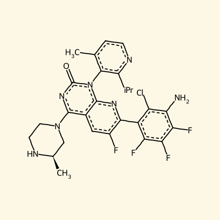 Cc1ccnc(C(C)C)c1-n1c(=O)nc(N2CCN[C@H](C)C2)c2cc(F)c(-c3c(F)c(F)c(F)c(N)c3Cl)nc21